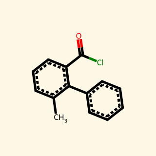 Cc1cccc(C(=O)Cl)c1-c1ccccc1